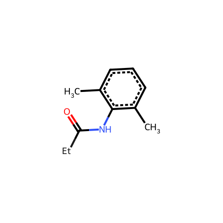 CCC(=O)Nc1c(C)cccc1C